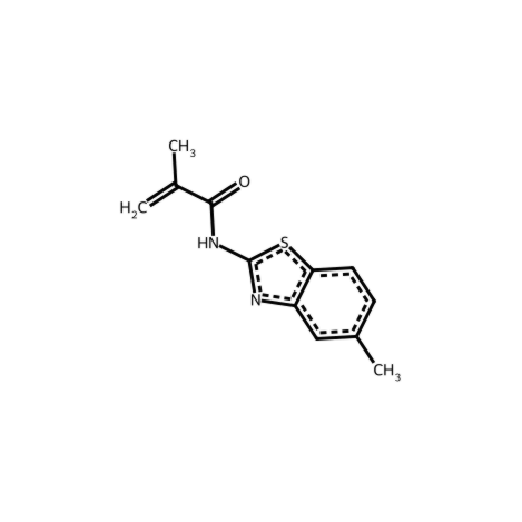 C=C(C)C(=O)Nc1nc2cc(C)ccc2s1